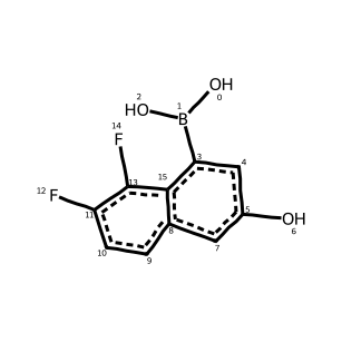 OB(O)c1cc(O)cc2ccc(F)c(F)c12